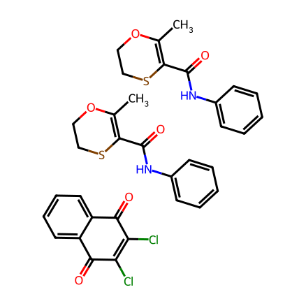 CC1=C(C(=O)Nc2ccccc2)SCCO1.CC1=C(C(=O)Nc2ccccc2)SCCO1.O=C1C(Cl)=C(Cl)C(=O)c2ccccc21